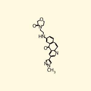 Cn1cc(-c2cnc3ccc4ccc(NCCN5CCOCC5=O)cc4c(=O)c3c2)cn1